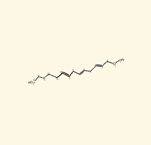 CCCOCC=CCC=CCC=CCCOCC(=O)O